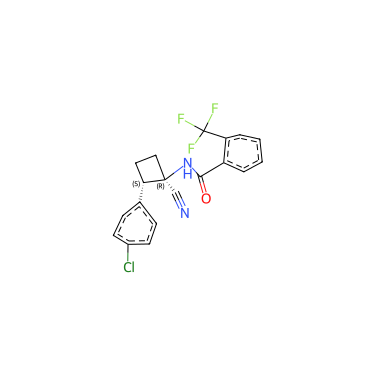 N#C[C@@]1(NC(=O)c2ccccc2C(F)(F)F)CC[C@H]1c1ccc(Cl)cc1